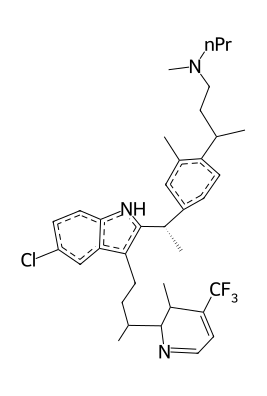 CCCN(C)CCC(C)c1ccc([C@H](C)c2[nH]c3ccc(Cl)cc3c2CCC(C)C2N=CC=C(C(F)(F)F)C2C)cc1C